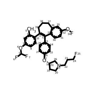 Cc1cc(OC(F)F)ccc1C1=C(c2ccc(O[C@H]3CCN(CCCF)C3)cc2)c2ccc(OF)cc2CCC1